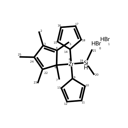 Br.Br.CC1=C(C)[C](C)([Zr]([CH]2C=CC=C2)([CH]2C=CC=C2)[SiH](C)C)C(C)=C1C